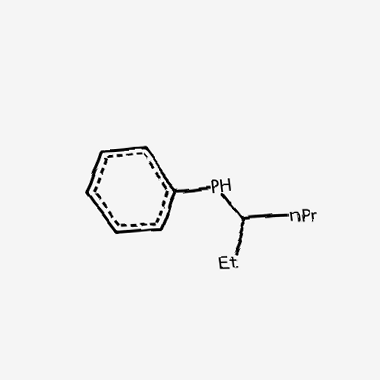 CCCC(CC)Pc1ccccc1